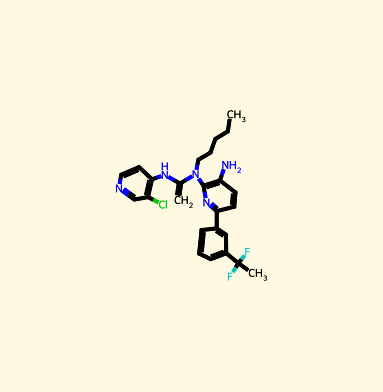 C=C(Nc1ccncc1Cl)N(CCCCC)c1nc(-c2cccc(C(C)(F)F)c2)ccc1N